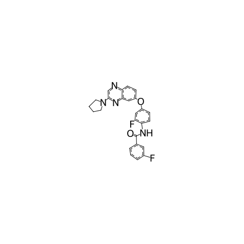 O=C(Nc1ccc(Oc2ccc3ncc(N4CCCC4)nc3c2)cc1F)c1cccc(F)c1